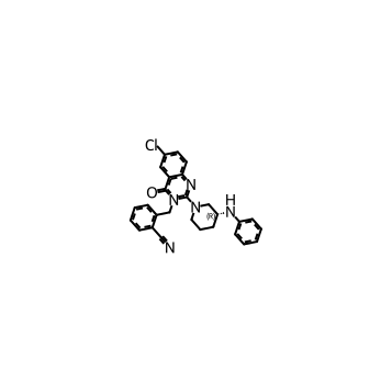 N#Cc1ccccc1Cn1c(N2CCC[C@@H](Nc3ccccc3)C2)nc2ccc(Cl)cc2c1=O